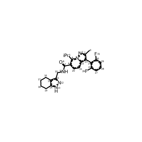 Cc1nn2c(C(C)C)c(C(=O)NCc3n[nH]c4c3CCCC4)ccc2c1-c1c(F)cccc1F